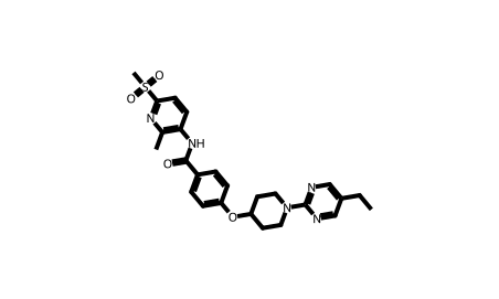 CCc1cnc(N2CCC(Oc3ccc(C(=O)Nc4ccc(S(C)(=O)=O)nc4C)cc3)CC2)nc1